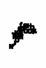 CC[C@H]1O[C@@H](n2cnc3c(OCCC#N)nc(C)nc32)[C@@H](OCOC(=O)C(C)(C)C)C1O